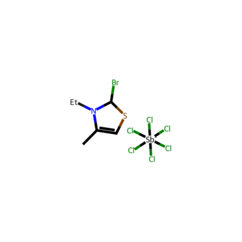 CCN1C(C)=CSC1Br.[Cl][Sb-]([Cl])([Cl])([Cl])([Cl])[Cl]